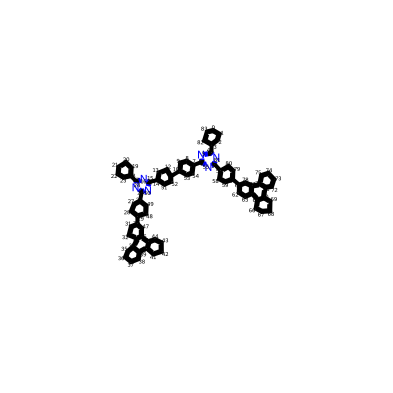 c1ccc(-c2nc(-c3ccc(-c4ccc(-c5nc(-c6ccccc6)nc(-c6ccc(-c7ccc8c9ccccc9c9ccccc9c8c7)cc6)n5)cc4)cc3)nc(-c3ccc(-c4ccc5c6ccccc6c6ccccc6c5c4)cc3)n2)cc1